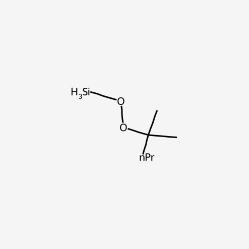 CCCC(C)(C)OO[SiH3]